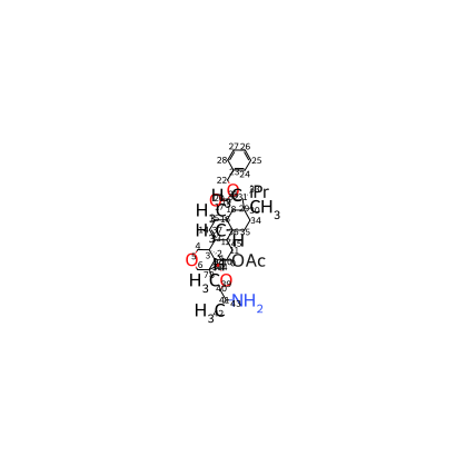 CC(=O)O[C@@H]1C[C@@]23COC[C@](C)([C@@H]2CC[C@H]2C3=CC[C@@]3(C)[C@H](C(=O)OCc4ccccc4)[C@@](C)([C@H](C)C(C)C)CC[C@]23C)[C@H]1OCC(C)N